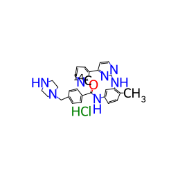 Cc1ccc(NC(=O)c2ccc(CN3CCNCC3)cc2)cc1Nc1nccc(-c2cccn[14cH]2)n1.Cl